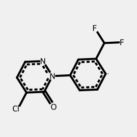 O=c1c(Cl)ccnn1-c1cc[c]c(C(F)F)c1